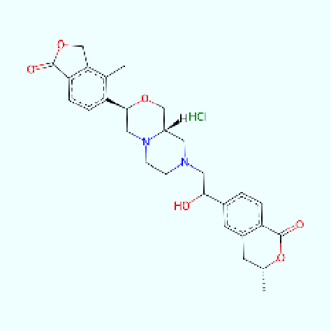 Cc1c([C@@H]2CN3CCN(CC(O)c4ccc5c(c4)C[C@@H](C)OC5=O)C[C@H]3CO2)ccc2c1COC2=O.Cl